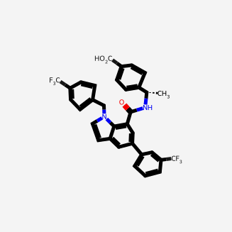 C[C@H](NC(=O)c1cc(-c2cccc(C(F)(F)F)c2)cc2ccn(Cc3ccc(C(F)(F)F)cc3)c12)c1ccc(C(=O)O)cc1